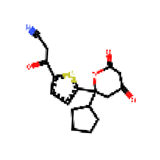 N#CCC(=O)c1ccc(C2(C3CCCC3)CC(=O)CC(=O)O2)s1